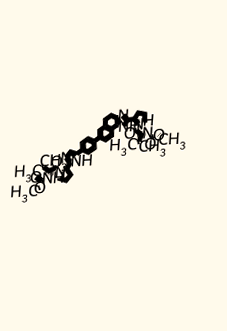 COC(=O)N[C@H](C(=O)N1CCCC1c1ncc(-c2ccc(-c3ccc4c(c3)CCc3nc(C5CCCN5C(=O)[C@@H](NC(=O)OC)C(C)C)[nH]c3-4)cc2)[nH]1)C(C)C